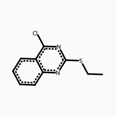 CCSc1nc(Cl)c2ccccc2n1